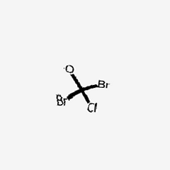 [O]C(Cl)(Br)Br